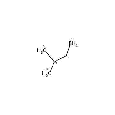 BC[C](C)C